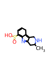 CC1CC2=NC3=C(S(=O)O)C=CCC3=C2CN1